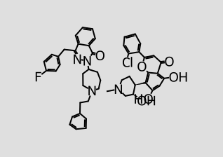 CN1CC[C@@H](c2c(O)cc(O)c3c(=O)cc(-c4ccccc4Cl)oc23)[C@@H](O)C1.O=c1c2ccccc2c(Cc2ccc(F)cc2)nn1C1CCCN(CCc2ccccc2)CC1